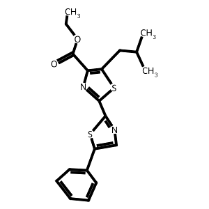 CCOC(=O)c1nc(-c2ncc(-c3ccccc3)s2)sc1CC(C)C